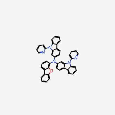 c1ccc(-n2c3ccccc3c3ccc(N(c4ccc5c6ccccc6n(-c6ccccn6)c5c4)c4cccc5c4oc4ccccc45)cc32)nc1